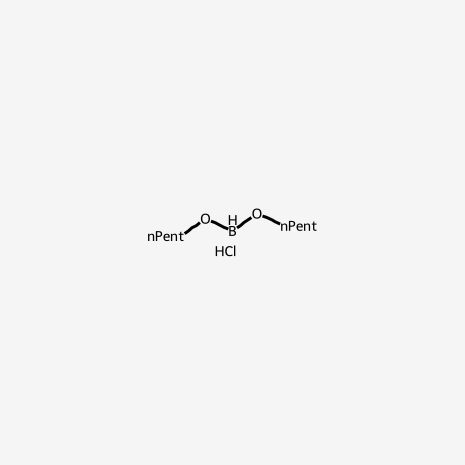 CCCCCOBOCCCCC.Cl